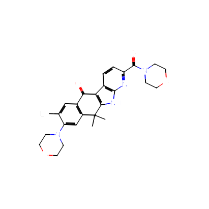 CCc1cc2c(cc1N1CCOCC1)C(C)(C)c1[nH]c3nc(C(=O)N4CCOCC4)ccc3c1C2=O